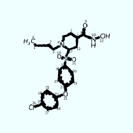 CCCCN1CCC(C(=O)NO)CC1S(=O)(=O)c1ccc(Oc2ccc(Cl)cc2)cc1